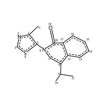 Cc1ncsc1-n1cc(C(C)C)c2ccccc2c1=O